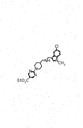 CCOC(=O)c1cnc(N2CCC(CNCc3cn(C)c4ccc(Cl)cc34)CC2)nc1